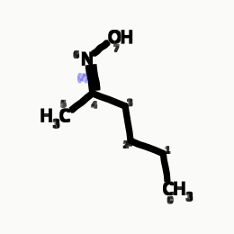 CC[CH]C/C(C)=N\O